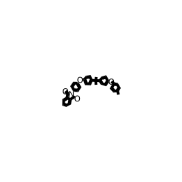 Cc1ccc(Oc2ccc(C(C)(C)c3ccc(Oc4ccc(N5C(=O)c6ccccc6C5=O)cc4)cc3)cc2)cc1